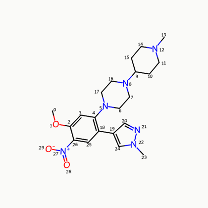 COc1cc(N2CCN(C3CCN(C)CC3)CC2)c(-c2cnn(C)c2)cc1[N+](=O)[O-]